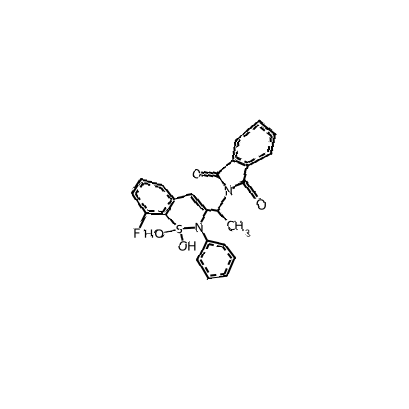 CC(C1=Cc2cccc(F)c2S(O)(O)N1c1ccccc1)N1C(=O)c2ccccc2C1=O